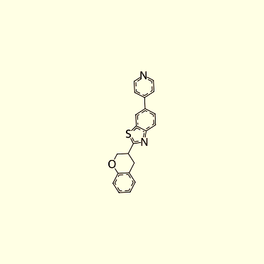 c1ccc2c(c1)CC(c1nc3ccc(-c4ccncc4)cc3s1)CO2